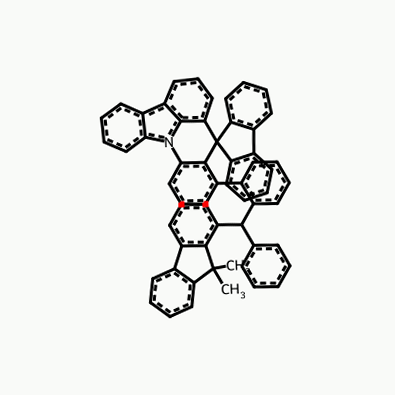 CC1(C)c2ccccc2-c2cccc(C(c3ccccc3)c3ccccc3-c3cccc4c3C3(c5ccccc5-c5ccccc53)c3cccc5c6ccccc6n-4c35)c21